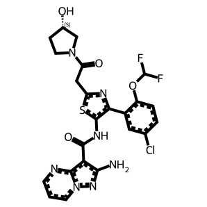 Nc1nn2cccnc2c1C(=O)Nc1sc(CC(=O)N2CC[C@H](O)C2)nc1-c1cc(Cl)ccc1OC(F)F